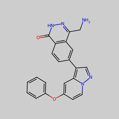 NCc1n[nH]c(=O)c2ccc(-c3cnn4ccc(Oc5ccccc5)cc34)cc12